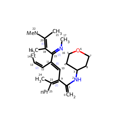 C=C(NC1CCOCC1)C(/C=C(\C=C/CC)C(=N/C)/C(C)=C(\C)NC)=C(/C)CCC